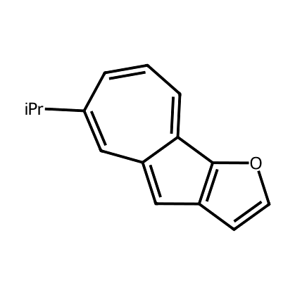 CC(C)c1cccc2c3occc3cc-2c1